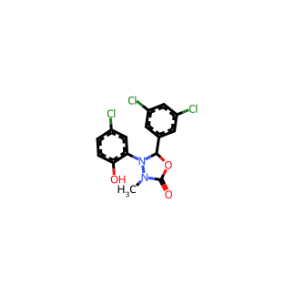 CN1C(=O)OC(c2cc(Cl)cc(Cl)c2)N1c1cc(Cl)ccc1O